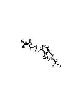 CO/N=C/c1cnc(SCCC(F)=C(F)F)n1C